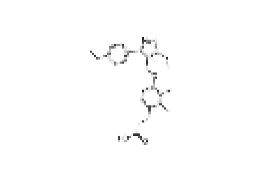 CCc1ccc(-c2nsc(CC)c2COc2ccc(CCC(=O)O)c(C)c2C)cc1